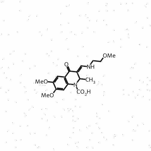 COCCNC=C1C(=O)c2cc(OC)c(OC)cc2N(C(=O)O)C1C